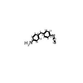 Nc1ccc(Cc2ccc(N=C=S)cc2)cc1